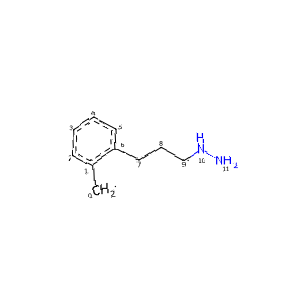 [CH2]c1ccccc1CC[CH]NN